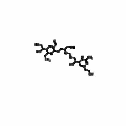 CCC(OC(OC=O)OCC(CO)OCOCC(O)C(COCCO)NC(C)=O)C(O)C(O)CO